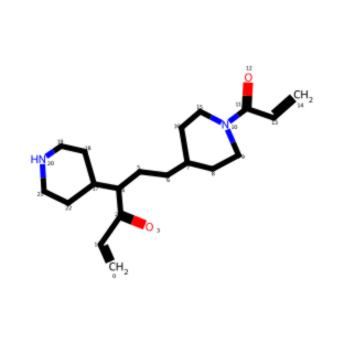 C=CC(=O)C(CCC1CCN(C(=O)C=C)CC1)C1CCNCC1